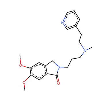 COc1cc2c(cc1OC)C(=O)N(CCCN(C)CCc1cccnc1)C2